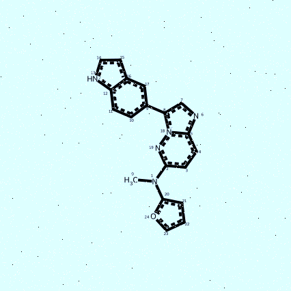 CN(c1ccc2ncc(-c3ccc4[nH]ccc4c3)n2n1)c1ccco1